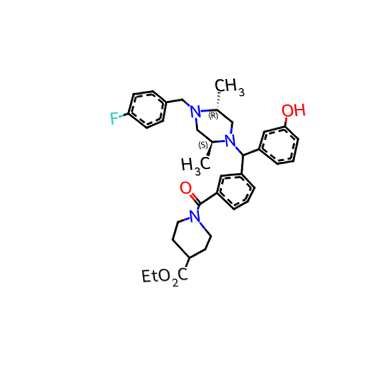 CCOC(=O)C1CCN(C(=O)c2cccc(C(c3cccc(O)c3)N3C[C@@H](C)N(Cc4ccc(F)cc4)C[C@@H]3C)c2)CC1